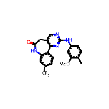 COc1cc(Nc2ncc3c(n2)-c2ccc(C(F)(F)F)cc2NC(=O)C3)ccc1C